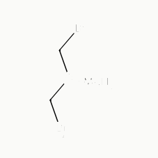 BrCOCBr.[MgH2]